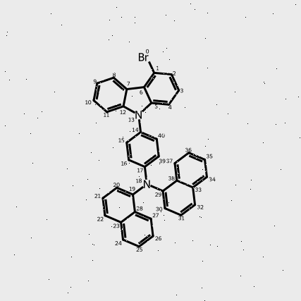 Brc1cccc2c1c1ccccc1n2-c1ccc(N(c2cccc3ccccc23)c2cccc3ccccc23)cc1